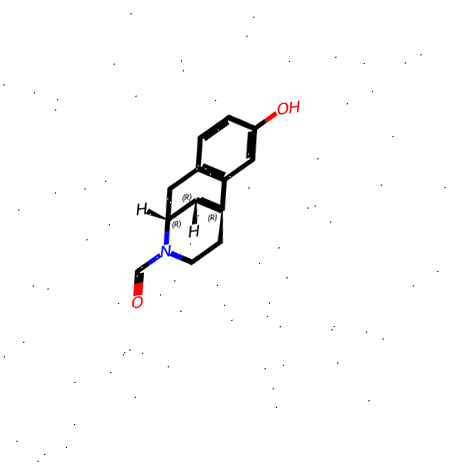 O=CN1CC[C@]23CCCC[C@H]2[C@H]1Cc1ccc(O)cc13